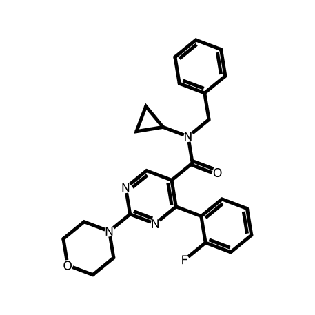 O=C(c1cnc(N2CCOCC2)nc1-c1ccccc1F)N(Cc1ccccc1)C1CC1